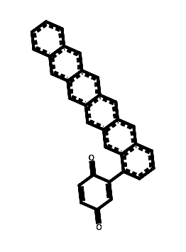 O=C1C=CC(=O)C(c2cccc3cc4cc5cc6cc7ccccc7cc6cc5cc4cc23)=C1